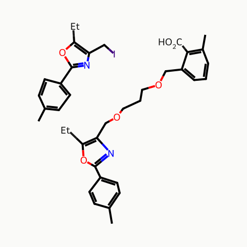 CCc1oc(-c2ccc(C)cc2)nc1CI.CCc1oc(-c2ccc(C)cc2)nc1COCCCOCc1cccc(C)c1C(=O)O